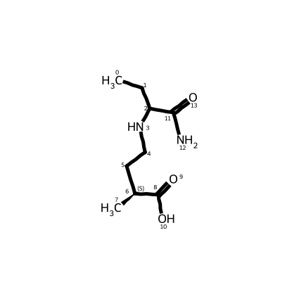 CCC(NCC[C@H](C)C(=O)O)C(N)=O